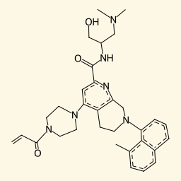 C=CC(=O)N1CCN(c2cc(C(=O)NC(CO)CN(C)C)nc3c2CCN(c2cccc4cccc(C)c24)C3)CC1